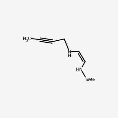 CC#CCN/C=C\NSC